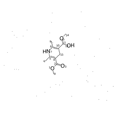 COC(=O)C1=C(C)NC(C)=C(C(O)OC)C1